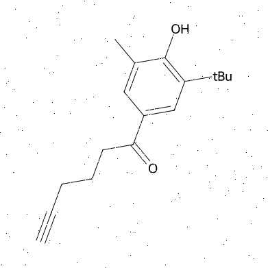 C#CCCCC(=O)c1cc(C)c(O)c(C(C)(C)C)c1